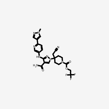 Cn1cc(-c2ccc(Nc3nn(C4(CC#N)CCN(C(=O)OCC(F)(F)F)CC4)cc3C(N)=O)cn2)cn1